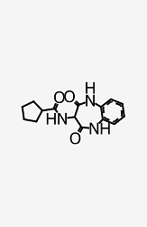 O=C(NC1C(=O)Nc2ccccc2NC1=O)C1CCCC1